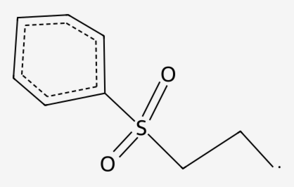 [CH2]CCS(=O)(=O)c1ccccc1